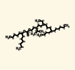 CCCCCCC(CCCC)CCCN(CC)CCN(CCOC(=O)OC(CCCCC)CCCCCC)C(C)C